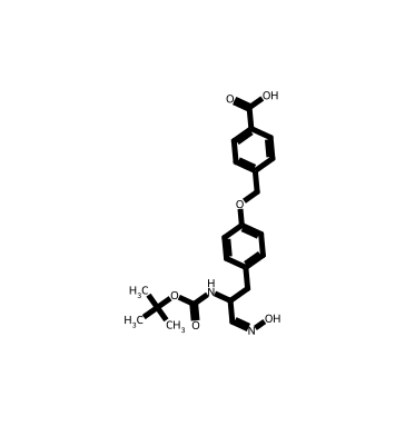 CC(C)(C)OC(=O)NC(/C=N\O)Cc1ccc(OCc2ccc(C(=O)O)cc2)cc1